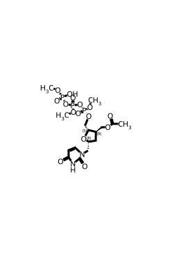 COP(=O)(O)OP(=O)(OC)OP(=O)(OC)OC[C@H]1O[C@@H](Cn2ccc(=O)[nH]c2=O)C[C@@H]1COC(C)=O